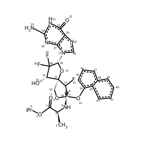 CC(C)OC(=O)[C@H](C)N[P@](=O)(OC[C@@]1(C(F)F)O[C@@H](n2cnc3c(=O)[nH]c(N)nc32)C(F)(F)[C@H]1O)Oc1cccc2ccccc12